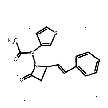 CC(=O)N(c1ccsc1)N1C(=O)CC1C=Cc1ccccc1